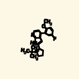 COc1ccc(F)cc1-c1ccnc2[nH]c(C3CCCN3C(C)(C)C)cc12